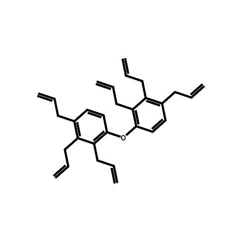 C=CCc1ccc(Oc2ccc(CC=C)c(CC=C)c2CC=C)c(CC=C)c1CC=C